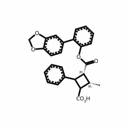 C[C@@H]1C(C(=O)O)C(c2ccccc2)[C@@H]1C(=O)Oc1ccccc1-c1ccc2c(c1)OCO2